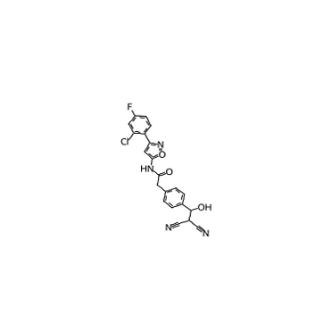 N#CC(C#N)C(O)c1ccc(CC(=O)Nc2cc(-c3ccc(F)cc3Cl)no2)cc1